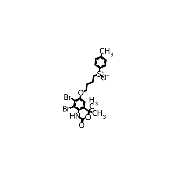 Cc1ccc([S+]([O-])CCCCOc2cc3c(c(Br)c2Br)NC(=O)OC3(C)C)cc1